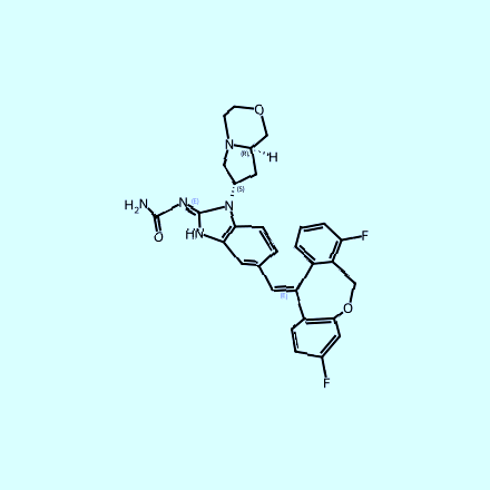 NC(=O)/N=c1\[nH]c2cc(/C=C3/c4ccc(F)cc4OCc4c(F)cccc43)ccc2n1[C@H]1C[C@@H]2COCCN2C1